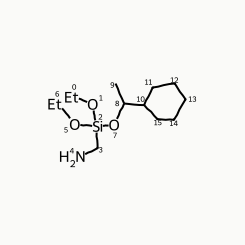 CCO[Si](CN)(OCC)OC(C)C1CCCCC1